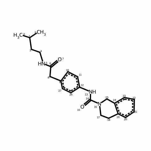 CC(C)CCNC(=O)Cc1ccc(NC(=O)N2CCc3ccccc3C2)cc1